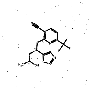 C[C@H](O)C[C@@H](Sc1nc(C(F)(F)F)ccc1C#N)c1cncs1